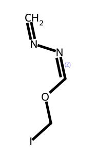 C=N/N=C\OCI